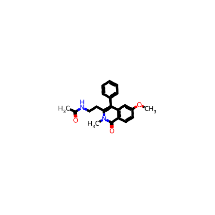 COc1ccc2c(=O)n(C)c(CCNC(C)=O)c(-c3ccccc3)c2c1